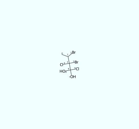 CC(Br)C(Cl)(Br)C(O)(O)Cl